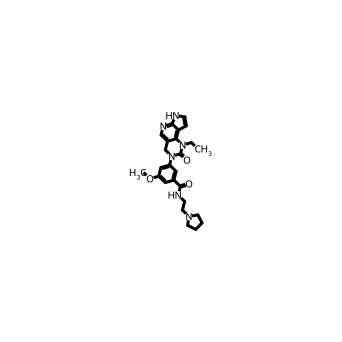 CCN1C(=O)N(c2cc(OC)cc(C(=O)NCCN3CCCC3)c2)Cc2cnc3[nH]ccc3c21